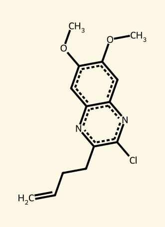 C=CCCc1nc2cc(OC)c(OC)cc2nc1Cl